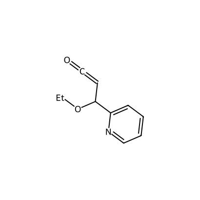 CCOC(C=C=O)c1ccccn1